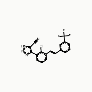 N#Cc1[nH]nnc1-c1cccc(/C=C/c2cccc(C(F)(F)F)c2)c1Cl